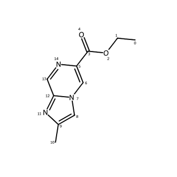 CCOC(=O)c1cn2cc(C)nc2cn1